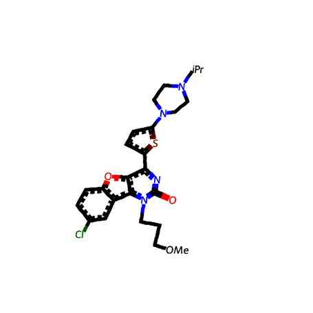 COCCCn1c(=O)nc(-c2ccc(N3CCN(C(C)C)CC3)s2)c2oc3ccc(Cl)cc3c21